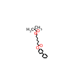 C=C(C)C(=O)OCCCCCCC(=O)Oc1ccc(-c2ccccc2)cc1